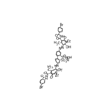 CCn1c(O)c(N=Nc2ccc(-c3ccc(N=Nc4c(C)c(C(=O)NC(=O)c5ccc(Br)cc5)c(=O)n(CC)c4O)cc3S(=O)(=O)O)c(SOOO)c2)c(C)c(C(=O)NC(=O)c2ccc(Br)cc2)c1=O